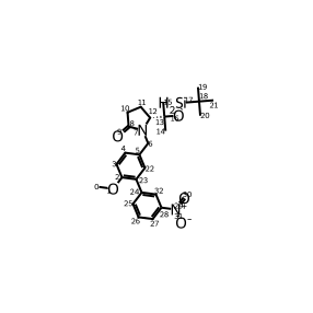 COc1ccc(CN2C(=O)CC[C@@H]2C(C)(C)O[SiH2]C(C)(C)C)cc1-c1cccc([N+](=O)[O-])c1